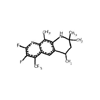 Cc1c2c(cc3c(C(F)(F)F)c(F)c(F)nc13)C(C)CC(C)(C)N2